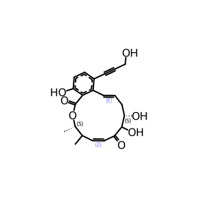 CC1/C=C\C(=O)C(O)[C@@H](O)C/C=C/c2c(C#CCO)ccc(O)c2C(=O)O[C@H]1C